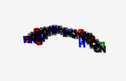 CC1(C)[C@H](NC(=O)c2ccc(N3CCC(CN4CCN(c5ccc6c(=O)n([C@H]7CCC(=O)NC7=O)ncc6c5)CC4)C3)cc2)C(C)(C)[C@H]1Oc1ccc(C#N)c(Cl)c1